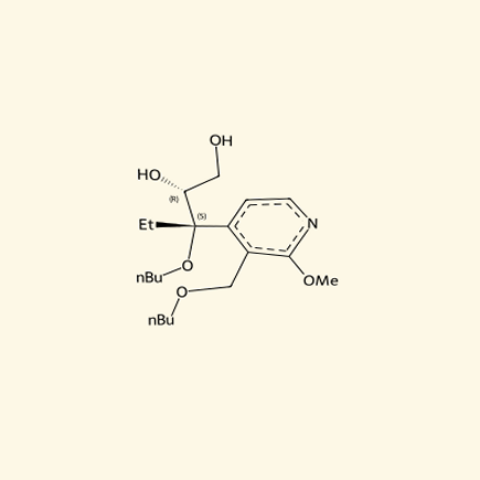 CCCCOCc1c([C@](CC)(OCCCC)[C@H](O)CO)ccnc1OC